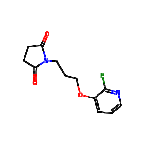 O=C1CCC(=O)N1CCCOc1cccnc1F